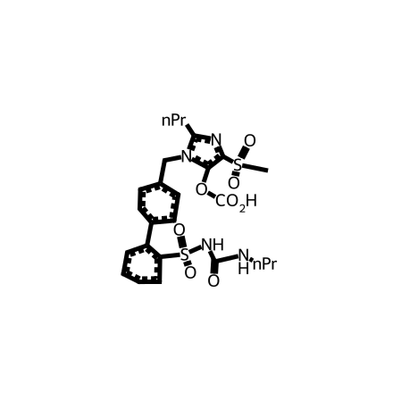 CCCNC(=O)NS(=O)(=O)c1ccccc1-c1ccc(Cn2c(CCC)nc(S(C)(=O)=O)c2OC(=O)O)cc1